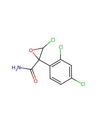 NC(=O)C1(c2ccc(Cl)cc2Cl)OC1Cl